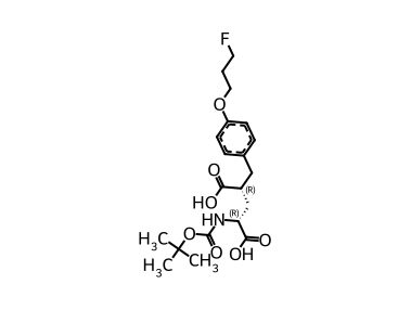 CC(C)(C)OC(=O)N[C@H](C[C@@H](Cc1ccc(OCCCF)cc1)C(=O)O)C(=O)O